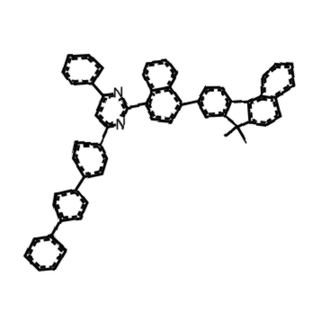 CC1(C)c2cc(-c3ccc(-c4nc(-c5ccccc5)cc(-c5ccc(-c6ccc(-c7ccccc7)cc6)cc5)n4)c4ccccc34)ccc2-c2c1ccc1ccccc21